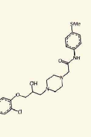 CSc1ccc(NC(=O)CN2CCN(CC(O)COc3ccccc3Cl)CC2)cc1